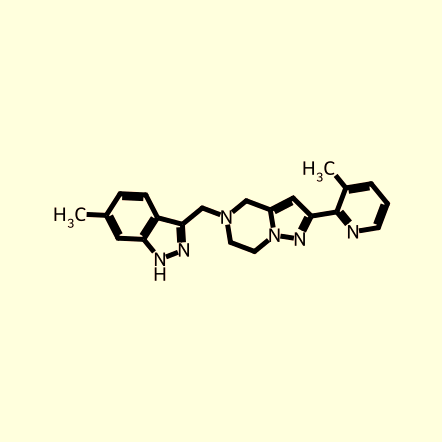 Cc1ccc2c(CN3CCn4nc(-c5ncccc5C)cc4C3)n[nH]c2c1